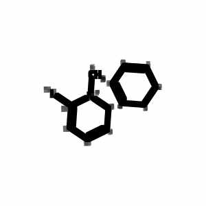 C1=CCCC=C1.CN1CC=CC=C1F